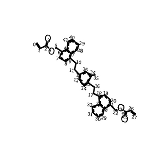 C=CC(=O)OCc1ccc(CCc2ccc(CCc3ccc(COC(=O)C=C)c4ccccc34)c(C)c2)c2ccccc12